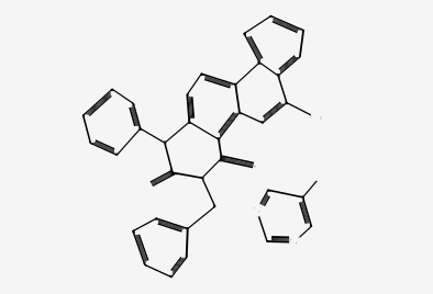 CCOC(=O)c1cncnc1.O=C1c2c(ccc3c2cc(O)c2ccccc23)C(c2ccccc2)C(=O)C1Cc1ccccc1